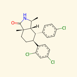 C[C@@H]1NC(=O)[C@@]2(C)CC[C@H](c3ccc(Cl)cc3Cl)[C@@H](c3ccc(Cl)cc3)[C@@H]12